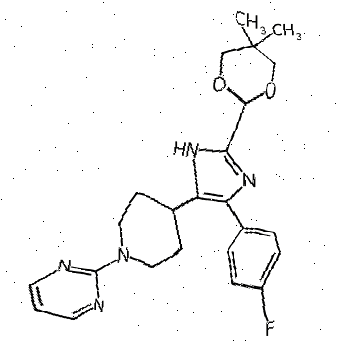 CC1(C)COC(c2nc(-c3ccc(F)cc3)c(C3CCN(c4ncccn4)CC3)[nH]2)OC1